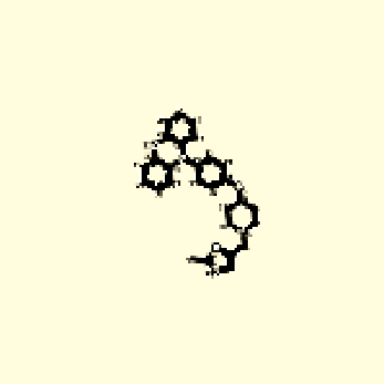 Cc1ncc(CN2CCC(Oc3ccc(N4c5ccccc5Sc5ccccc54)cc3)CC2)o1